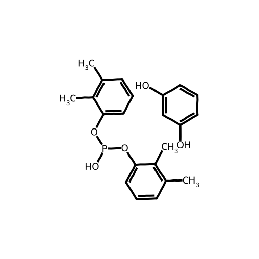 Cc1cccc(OP(O)Oc2cccc(C)c2C)c1C.Oc1cccc(O)c1